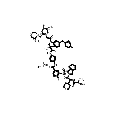 CNC(C)C(=O)NC(C(=O)N1Cc2ccccc2[C@H]1C(=O)Nc1cc(C(=O)Nc2ccc(NC(=O)C3(C)CN(C(=O)CN4C[C@@H](C)NC[C@@H]4CN4CCOC[C@H]4C)c4cc(Cc5ccc(F)cc5)ccc43)cc2)ccc1F)C1CCOCC1.Cl.Cl.Cl